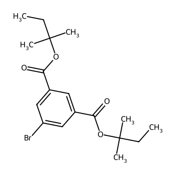 CCC(C)(C)OC(=O)c1cc(Br)cc(C(=O)OC(C)(C)CC)c1